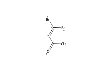 O=C(Cl)C=C(Br)Br